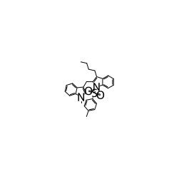 CCCCc1c(Cc2cn(C)c3ccccc23)n(S(=O)(=O)c2ccc(C)cc2)c2ccccc12